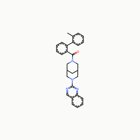 Cc1ccccc1-c1ccccc1C(=O)N1CC2CC(C1)CN(c1ncc3ccccc3n1)C2